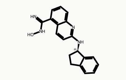 N=C(NO)c1cccc2nc(N[C@@H]3CCc4ccccc43)ccc12